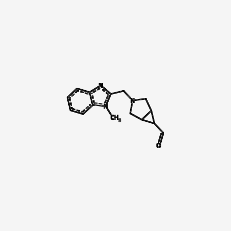 Cn1c(CN2CC3C(C=O)C3C2)nc2ccccc21